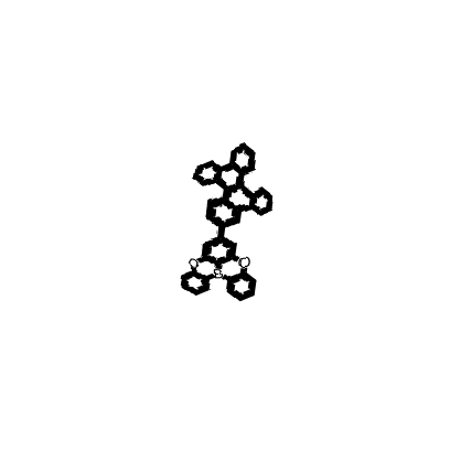 c1ccc2c(c1)Oc1cc(-c3ccc4c(c3)c3ccccc3c3c5ccccc5c5ccccc5c43)cc3c1B2c1ccccc1O3